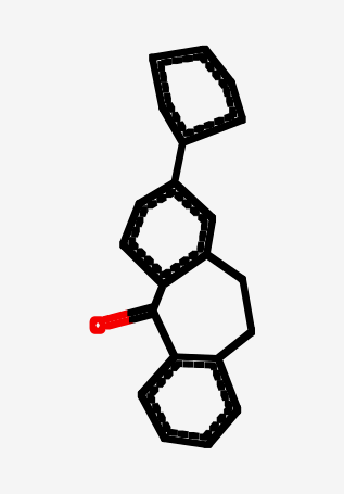 O=C1c2ccccc2CCc2cc(-c3ccccc3)ccc21